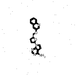 Nc1ncnc2c1ccn2[C@H]1CC[C@@H](COc2cnc3ccccc3c2)O1